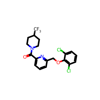 O=C(c1cccc(COc2c(Cl)cccc2Cl)n1)N1CCC(C(F)(F)F)CC1